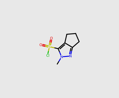 Cn1nc2c(c1S(=O)(=O)Cl)CCC2